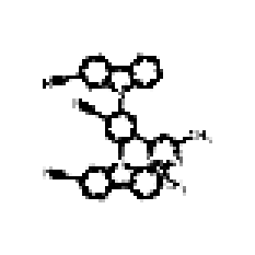 Cc1cc(-c2cc(-n3c4ccccc4c4ccc(C#N)cc43)c(C#N)cc2-n2c3ccccc3c3ccc(C#N)cc32)nc(C)n1